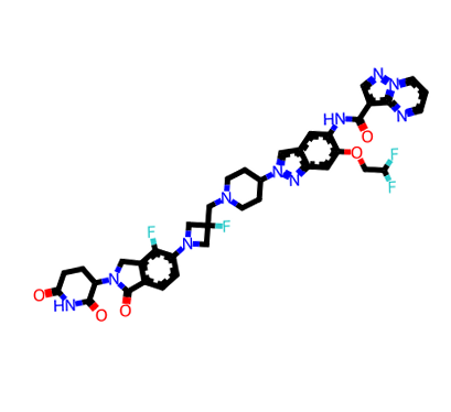 O=C1CCC(N2Cc3c(ccc(N4CC(F)(CN5CCC(n6cc7cc(NC(=O)c8cnn9cccnc89)c(OCC(F)F)cc7n6)CC5)C4)c3F)C2=O)C(=O)N1